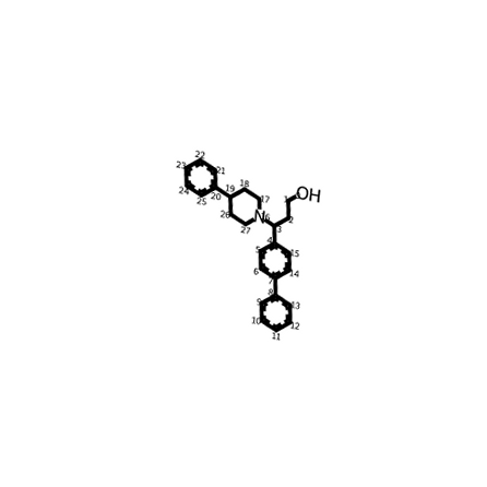 OCCC(c1ccc(-c2ccccc2)cc1)N1CCC(c2ccccc2)CC1